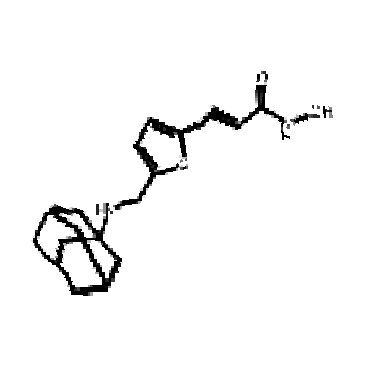 O=C(C=Cc1ccc(CNC23CC4CC(CC(C4)C2)C3)o1)NO